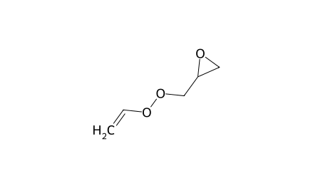 C=COOCC1CO1